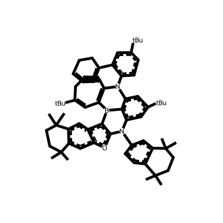 CC(C)(C)C1=CC2=C(C#CC1)N(c1ccc(C(C)(C)C)cc1C1=CC=CCC1)c1cc(C(C)(C)C)cc3c1B2c1c(oc2cc4c(cc12)C(C)(C)CCC4(C)C)N3c1ccc2c(c1)C(C)(C)CCC2(C)C